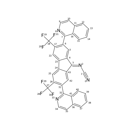 N#CN=C1c2cc(-c3nccc4ccccc34)c(C(F)(F)F)cc2-c2cc(C(F)(F)F)c(-c3nccc4ccccc34)cc21